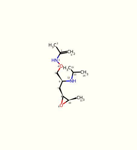 C=C(C)NOC[C@H](C[C@@H]1O[C@@H]1C)NC(C)C